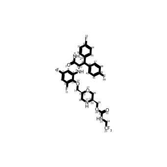 NC(=O)[C@@H](Nc1cc(F)cc(F)c1OC[C@@H]1CN[C@H](COC(=O)NCC(F)(F)F)CO1)C(c1ccc(F)cc1)c1ccc(F)cc1